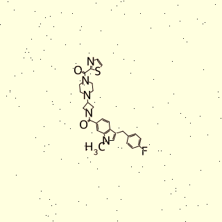 Cn1cc(Cc2ccc(F)cc2)c2ccc(C(=O)N3CC(N4CCN(C(=O)c5nccs5)CC4)C3)cc21